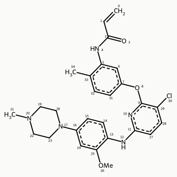 C=CC(=O)Nc1cc(Oc2nc(Nc3ccc(N4CCN(C)CC4)cc3OC)ccc2Cl)ccc1C